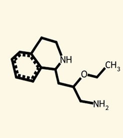 CCOC(CN)CC1NCCc2ccccc21